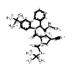 C=C(NC)C(c1cccnc1)N(C(=O)C1CC(C#N)CN1C(=O)OC(C)(C)C)c1ccc(C(C)(C)C)cc1